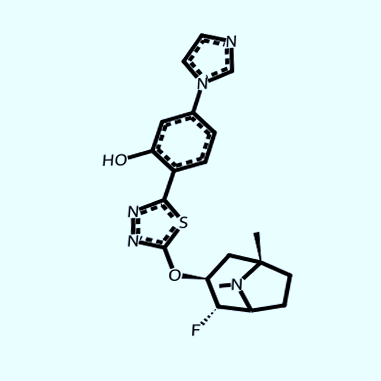 CN1C2CC[C@@]1(C)C[C@H](Oc1nnc(-c3ccc(-n4ccnc4)cc3O)s1)[C@H]2F